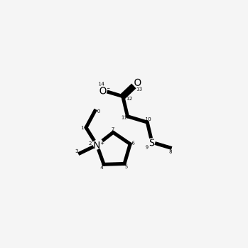 CC[N+]1(C)CCCC1.CSCCC(=O)[O-]